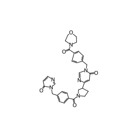 O=C(c1ccc(Cn2cnc(C3CCN(C(=O)c4ccc(Cn5cnccc5=O)cc4)C3)cc2=O)cc1)N1CCOCC1